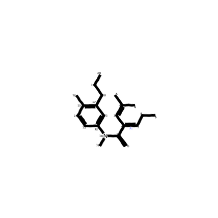 C=C(/C(C=C(C)C)=C/CC)N(C)c1ccc(C)c(CCC)c1